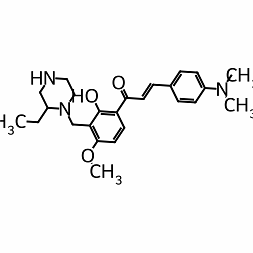 CCC1CNCCN1Cc1c(OC)ccc(C(=O)/C=C/c2ccc(N(C)C)cc2)c1O